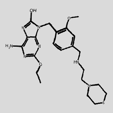 CCOc1nc(N)c2nc(O)n(Cc3ccc(CNCCN4CCSCC4)cc3OC)c2n1